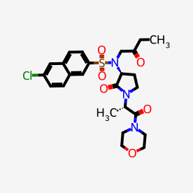 CCC(=O)CN([C@H]1CCN([C@@H](C)C(=O)N2CCOCC2)C1=O)S(=O)(=O)c1ccc2cc(Cl)ccc2c1